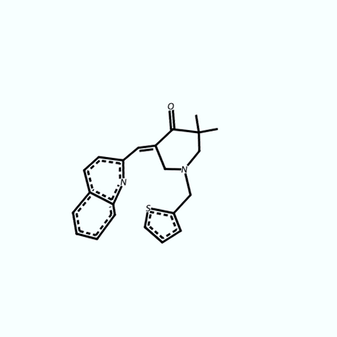 CC1(C)CN(Cc2cccs2)CC(=Cc2ccc3ccccc3n2)C1=O